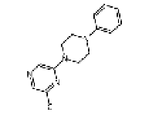 Clc1cncc(N2CCN(c3ccccc3)CC2)n1